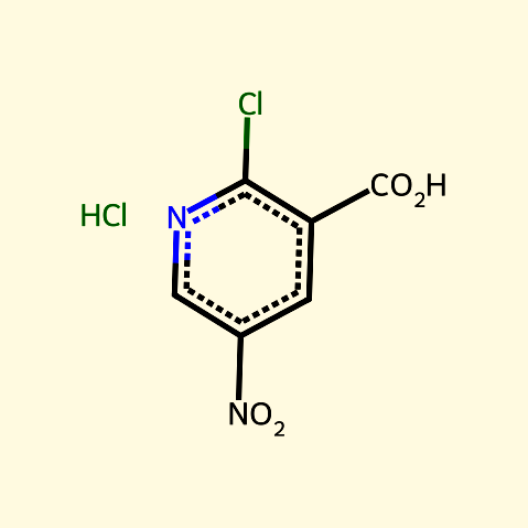 Cl.O=C(O)c1cc([N+](=O)[O-])cnc1Cl